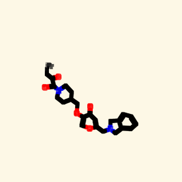 CC(C)CC(=O)C(=O)N1CCC(COc2coc(CN3Cc4ccccc4C3)cc2=O)CC1